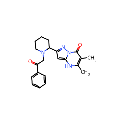 Cc1[nH]c2cc(C3CCCCN3CC(=O)c3ccccc3)nn2c(=O)c1C